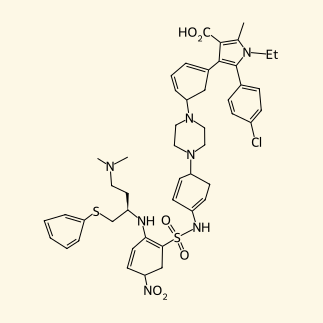 CCn1c(C)c(C(=O)O)c(C2=CC=CC(N3CCN(C4C=CC(NS(=O)(=O)C5=C(N[C@H](CCN(C)C)CSc6ccccc6)C=CC([N+](=O)[O-])C5)=CC4)CC3)C2)c1-c1ccc(Cl)cc1